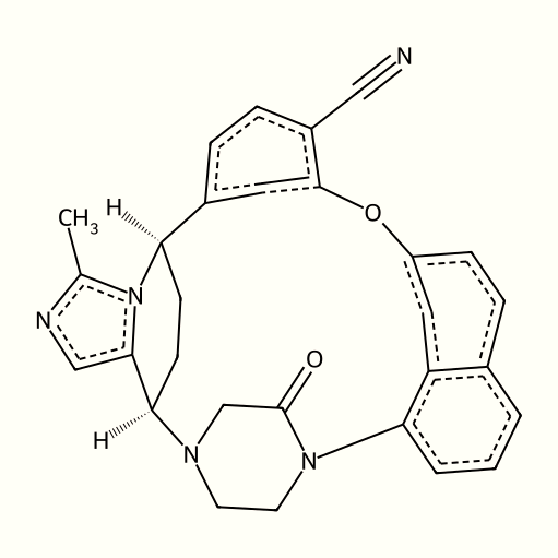 Cc1ncc2n1[C@@H]1CC[C@H]2N2CCN(C(=O)C2)c2cccc3ccc(cc23)Oc2cc1ccc2C#N